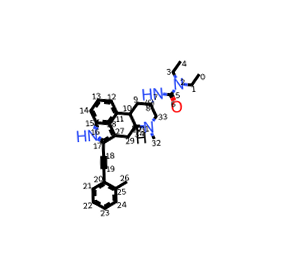 CCN(CC)C(=O)N[C@H]1CC2c3cccc4[nH]c(C#Cc5ccccc5C)c(c34)C[C@H]2N(C)C1